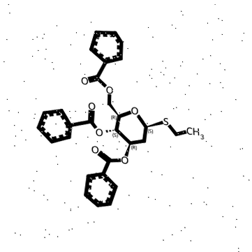 CCS[C@H]1C[C@@H](OC(=O)c2ccccc2)[C@H](OC(=O)c2ccccc2)[C@@H](COC(=O)c2ccccc2)O1